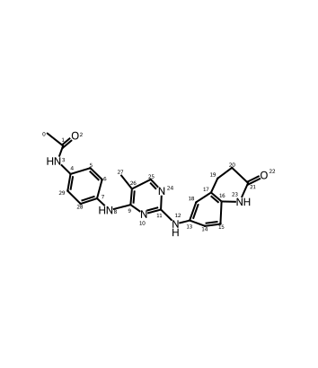 CC(=O)Nc1ccc(Nc2nc(Nc3ccc4c(c3)CCC(=O)N4)ncc2C)cc1